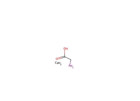 O=C(O)CP.[CaH2]